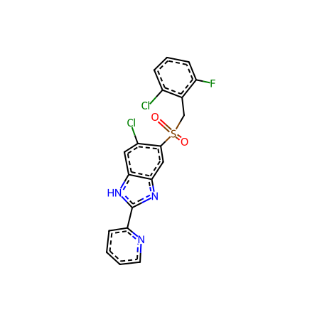 O=S(=O)(Cc1c(F)cccc1Cl)c1cc2nc(-c3ccccn3)[nH]c2cc1Cl